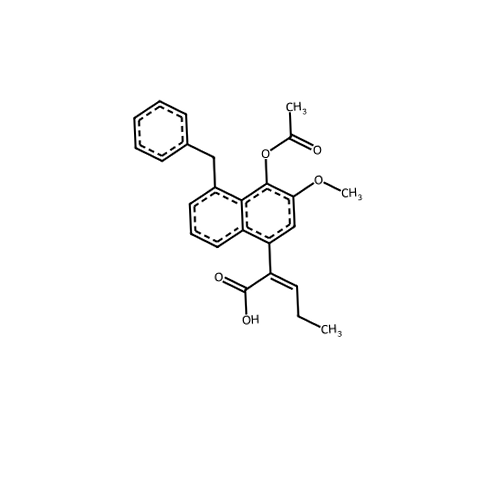 CCC=C(C(=O)O)c1cc(OC)c(OC(C)=O)c2c(Cc3ccccc3)cccc12